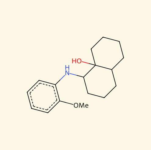 COc1ccccc1NC1CCCC2CCCCC21O